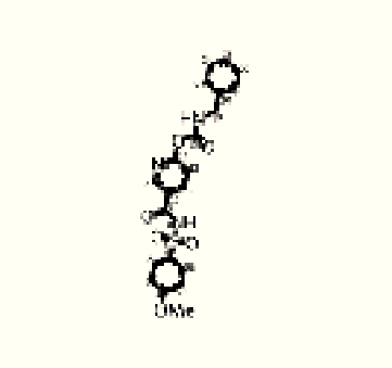 COc1ccc(S(=O)(=O)NC(=O)c2ccc(OC(=O)NCc3ccccc3)nc2)cc1